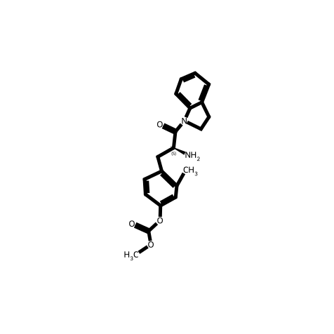 COC(=O)Oc1ccc(C[C@H](N)C(=O)N2CCc3ccccc32)c(C)c1